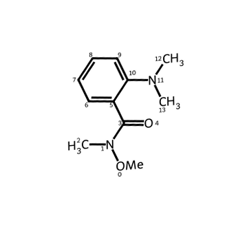 CON(C)C(=O)c1ccccc1N(C)C